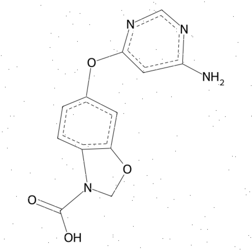 Nc1cc(Oc2ccc3c(c2)OCN3C(=O)O)ncn1